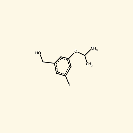 CC(C)Oc1cc(I)cc([CH]O)c1